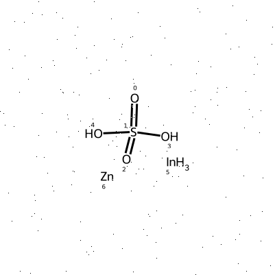 O=S(=O)(O)O.[InH3].[Zn]